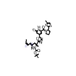 C/C=C\C=C(/C)CC(C)(NC(=O)OC(C)(C)C)c1nnc(-c2cc(C(=O)N3CCCC3c3nc(C)cs3)[nH]c(=O)c2)o1